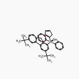 CC(C)(C)c1ccc2c(c1)-c1cc(C(C)(C)C)c[c]([Zr](=[SiH2])([C]3=CC=CC3)([c]3ccccc3)[c]3ccccc3)c1C2